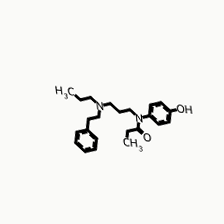 CCCN(CCCN(C(=O)CC)c1ccc(O)cc1)CCc1ccccc1